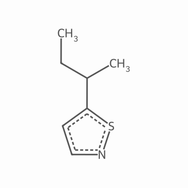 CCC(C)c1ccns1